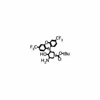 CC(C)(C)OC(=O)N1CC(N)C(O)C(N2c3ccc(C(F)(F)F)cc3Oc3cc(C(F)(F)F)ccc32)C1